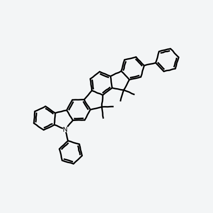 CC1(C)c2cc(-c3ccccc3)ccc2-c2ccc3c(c21)C(C)(C)c1cc2c(cc1-3)c1ccccc1n2-c1ccccc1